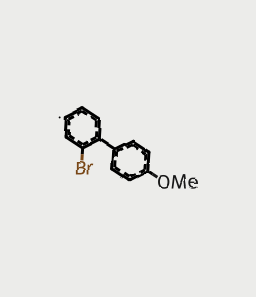 COc1ccc(-c2cc[c]cc2Br)cc1